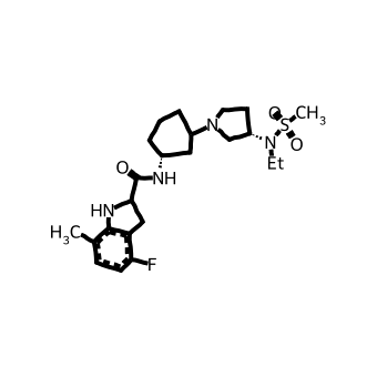 CCN([C@H]1CCN(C2CCC[C@@H](NC(=O)C3Cc4c(F)ccc(C)c4N3)C2)C1)S(C)(=O)=O